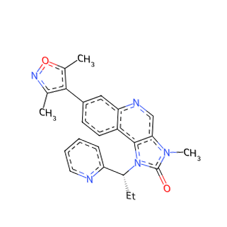 CC[C@H](c1ccccn1)n1c(=O)n(C)c2cnc3cc(-c4c(C)noc4C)ccc3c21